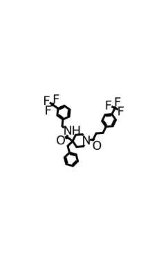 O=C(CCc1ccc(C(F)(F)F)cc1)N1CCC(Cc2ccccc2)(C(=O)NCc2cccc(C(F)(F)F)c2)CC1